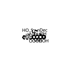 CCCCCCCCCCCCOS(=O)(=O)O.CN(C)[C@@H]1C(O)=C(C(=O)NCN2CCCC2)C(=O)[C@@]2(O)C(O)=C3C(=O)c4c(O)cccc4[C@@](C)(O)[C@H]3C[C@H]12